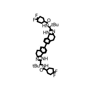 CC(C)(C)C(NC(=O)C1CCC(F)(F)CC1)c1nc2c([nH]1)-c1ccc(-c3ccc4c(c3)CCc3nc([C@@H](NC(=O)C5CCC(F)(F)CC5)C(C)(C)C)[nH]c3-4)cc1CC2